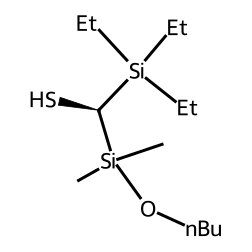 CCCCO[Si](C)(C)[C@@H](S)[Si](CC)(CC)CC